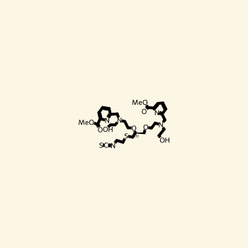 COC(=O)c1cccc(CN(CCO)CCOC[C@@H](CSCCN=C=S)OCCN(CCO)Cc2cccc(C(=O)OC)n2)n1